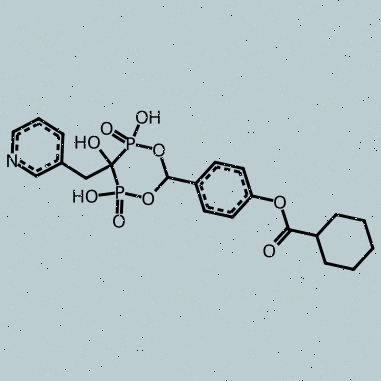 O=C(Oc1ccc(C2OP(=O)(O)C(O)(Cc3cccnc3)P(=O)(O)O2)cc1)C1CCCCC1